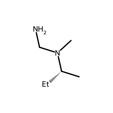 CC[C@@H](C)N(C)CN